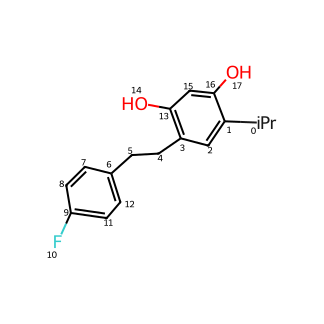 CC(C)c1cc(CCc2ccc(F)cc2)c(O)cc1O